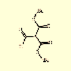 CCC(=O)C(C(=O)OC(C)(C)C)C(=O)OC(C)(C)C